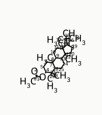 CC(=O)OC1CCC2(C)C3CCC4(C)C(C(C)(C)C)CCC4(C)C3CCC2C1(C)C